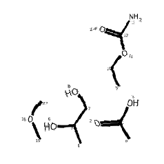 CC(=O)O.CC(O)CO.CCOC(N)=O.COC